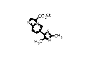 CCOC(=O)c1cnc2ccc(-c3sc(C)nc3C)cn12